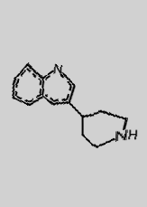 c1ccc2ncc(C3CCNCC3)cc2c1